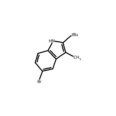 Cc1c(C(C)(C)C)[nH]c2ccc(Br)cc12